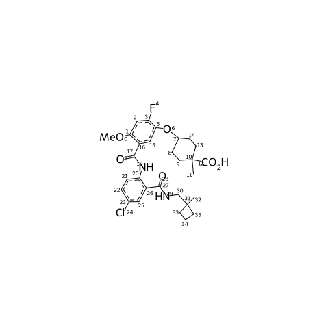 COc1cc(F)c(OC2CCC(C)(C(=O)O)CC2)cc1C(=O)Nc1ccc(Cl)cc1C(=O)NCC1(C)CCC1